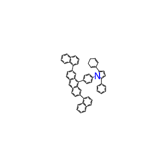 C1=CC(c2ccc(-c3ccccc3)n2-c2ccc(-c3c4cc(-c5cccc6ccccc56)ccc4cc4ccc(-c5cccc6ccccc56)cc34)cc2)=CCC1